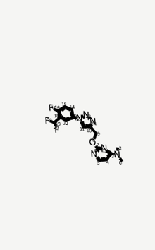 CN(C)c1ccnc(OCc2cn(-c3ccc(F)c(C(F)F)c3)nn2)n1